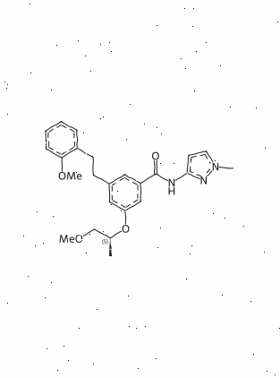 COC[C@H](C)Oc1cc(CCc2ccccc2OC)cc(C(=O)Nc2ccn(C)n2)c1